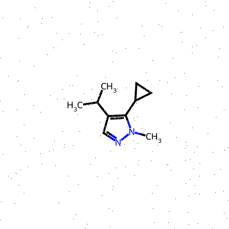 CC(C)c1cnn(C)c1C1CC1